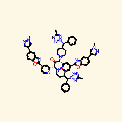 Cc1nnn(C(c2ccccc2)C2CCN([C@@H](C(=O)[C@@H](c3cc(-c4nc5cc(-c6cnn(C)c6)ccc5o4)ccn3)N3CCC(C(c4ccccc4)n4nnc(C)n4)CC3)c3cc(-c4nc5cc(-c6cnn(C)c6)ccc5o4)ccn3)CC2)n1